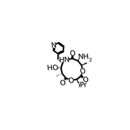 CC(C)[C@H]1OC(=O)[C@H](C)[C@H](O)[C@H](Cc2cccnc2)NC(=O)[C@@H](N)[C@@H](C)OC1=O